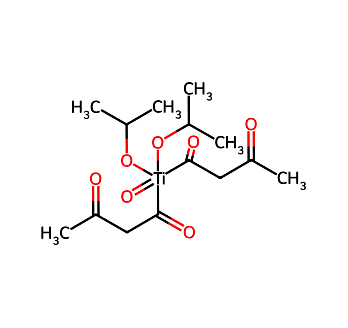 CC(=O)C[C](=O)[Ti](=[O])([O]C(C)C)([O]C(C)C)[C](=O)CC(C)=O